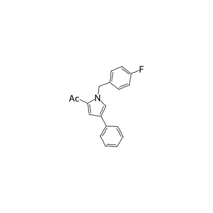 CC(=O)c1cc(-c2ccccc2)cn1Cc1ccc(F)cc1